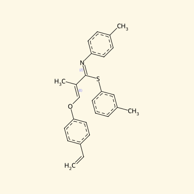 C=Cc1ccc(O/C=C(C)/C(=N/c2ccc(C)cc2)Sc2cccc(C)c2)cc1